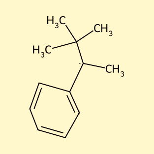 C[C](c1ccccc1)C(C)(C)C